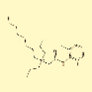 CCCCCCCC[N+](CCC)(CCC)CC(=O)Nc1c(C)cccc1C